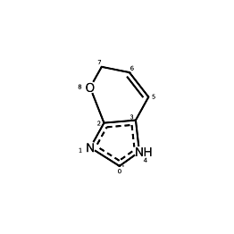 [c]1nc2c([nH]1)C=CCO2